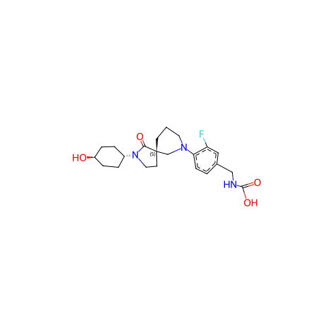 O=C(O)NCc1ccc(N2CCC[C@]3(CCN([C@H]4CC[C@H](O)CC4)C3=O)C2)c(F)c1